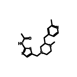 CC(=O)Nc1ncc(CN2CCN(C)C(Cc3ccnc(C)c3)C2)s1